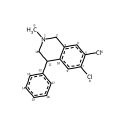 CN1Cc2cc(Cl)c(Cl)cc2C(c2ccccc2)C1